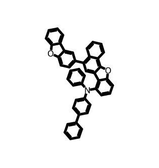 c1ccc(-c2ccc(N(c3ccccc3)c3cccc4oc5c6ccccc6c(-c6ccc7oc8ccccc8c7c6)cc5c34)cc2)cc1